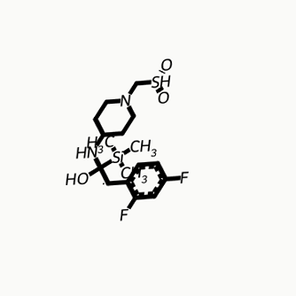 C[Si](C)(C)C(O)([CH]c1ccc(F)cc1F)NC1CCN(C[SH](=O)=O)CC1